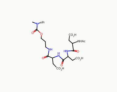 CCCN(C)C(=O)OCCCNC(=O)C(CC(=O)O)NC(=O)C(CC(=O)O)NC(=O)C(CC(=O)O)NC(C)=O